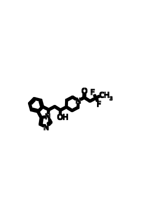 CC(F)(F)CC(=O)N1CCC(C(O)CC2c3ccccc3-c3cncn32)CC1